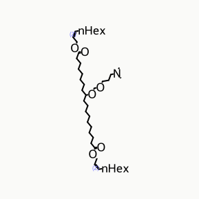 CCCCCC/C=C\COC(=O)CCCCCCCCCC(CCCCCCCC(=O)OC/C=C\CCCCCC)OCOCCCN(C)C